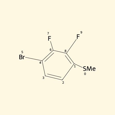 CSc1ccc(Br)c(F)c1F